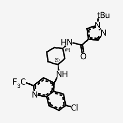 CC(C)(C)n1cc(C(=O)N[C@@H]2CCC[C@H](Nc3cc(C(F)(F)F)nc4ccc(Cl)cc34)C2)cn1